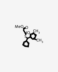 COC(=O)CCSC(c1ccccc1)c1cc(C)cc(C)c1O